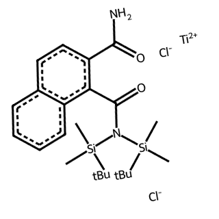 CC(C)(C)[Si](C)(C)N(C(=O)c1c(C(N)=O)ccc2ccccc12)[Si](C)(C)C(C)(C)C.[Cl-].[Cl-].[Ti+2]